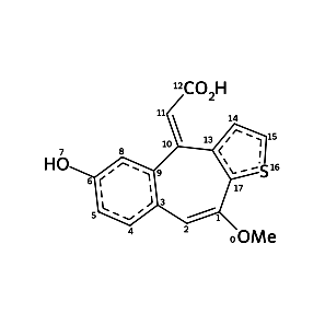 COC1=Cc2ccc(O)cc2/C(=C/C(=O)O)c2ccsc21